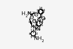 CC#CCn1c(N2CCCC(N)C2)nc2cnn(CC(=O)c3ccccc3OCC(N)=O)c(=O)c21